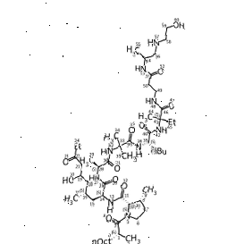 CCCCCCCC[C@@H](C)C(=O)N1CC[C@@H](C)[C@H]1C(=O)N[C@@H](C[C@H](C)CC(O)CC(=O)CC)C(=O)N[C@@H](C)C(=O)NC(C)(C)C(=O)N[C@H](C(=O)N[C@@](C)(CC)C(=O)NCCC(=O)NC(C)CNCCO)[C@@H](C)CC